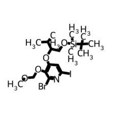 COCOc1c(OC(CO[Si](C)(C)C(C)(C)C)C(C)C)cc(I)nc1Br